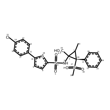 CC1C(NS(=O)(=O)c2ccc(-c3ccc(Cl)cc3)s2)(C(=O)O)[C@@]1(c1ccccc1)S(C)(=O)=O